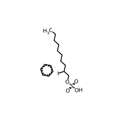 CCCCCCCCC(I)COS(=O)(=O)O.c1ccccc1